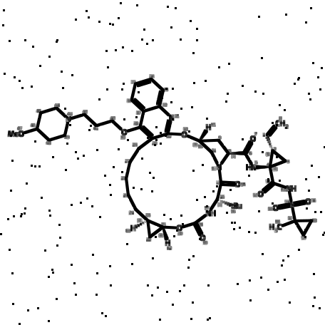 C=C[C@@H]1C[C@]1(NC(=O)[C@@H]1C[C@@H]2CN1C(=O)[C@H](C(C)(C)C)NC(=O)O[C@@H]1C[C@H]1CCCCCc1c(nc3ccccc3c1OCCCN1CCC(OC)CC1)O2)C(=O)NS(=O)(=O)C1(C)CC1